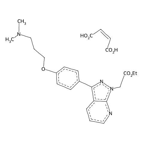 CCOC(=O)Cn1nc(-c2ccc(OCCCN(C)C)cc2)c2cccnc21.O=C(O)/C=C\C(=O)O